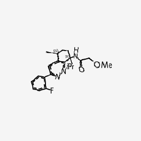 COCC(=O)N[C@@]1(C(C)C)CC[C@H](C)c2cc(-c3ccccc3F)nnc21